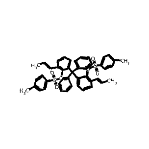 CC=Cc1cccc(C(c2ccccc2)(c2ccccc2)c2cccc(C=CC)c2OS(=O)(=O)c2ccc(C)cc2)c1OS(=O)(=O)c1ccc(C)cc1